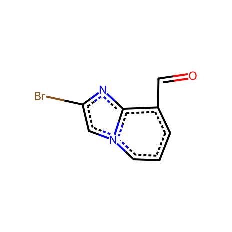 O=Cc1cccn2cc(Br)nc12